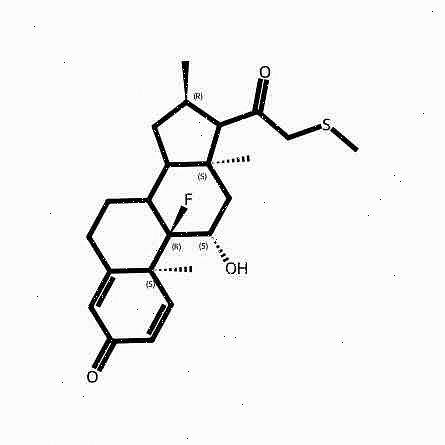 CSCC(=O)C1[C@H](C)CC2C3CCC4=CC(=O)C=C[C@]4(C)[C@@]3(F)[C@@H](O)C[C@@]21C